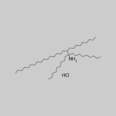 CCCCCCCCCCCCCCCCC(CCCCCCCCC)C(N)(CCCCCCCCC)CCCCCCCCC.Cl